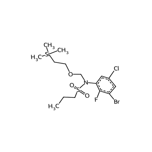 CCCS(=O)(=O)N(COCC[Si](C)(C)C)c1cc(Cl)cc(Br)c1F